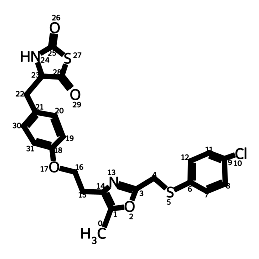 Cc1oc(CSc2ccc(Cl)cc2)nc1CCOc1ccc(CC2NC(=O)SC2=O)cc1